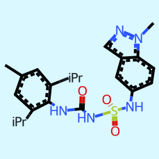 Cc1cc(C(C)C)c(NC(=O)NS(=O)(=O)Nc2ccc3c(cnn3C)c2)c(C(C)C)c1